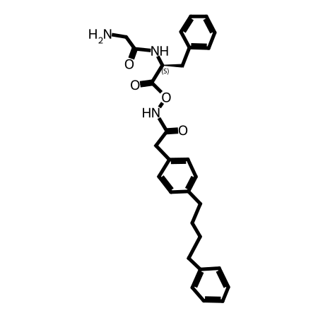 NCC(=O)N[C@@H](Cc1ccccc1)C(=O)ONC(=O)Cc1ccc(CCCCc2ccccc2)cc1